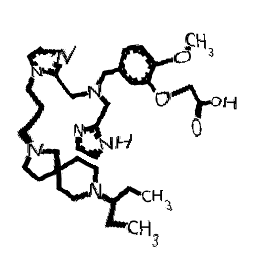 CCC(CC)N1CCC2(CCN(CCCn3ccnc3CN(Cc3ccc(OC)c(OCC(=O)O)c3)Cc3ncc[nH]3)C2)CC1